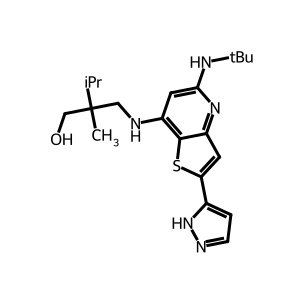 CC(C)C(C)(CO)CNc1cc(NC(C)(C)C)nc2cc(-c3ccn[nH]3)sc12